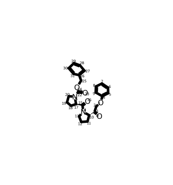 O=C(COc1ccccc1)[C@@H]1CCCN1C(=O)[C@H]1CCCN1C(=O)OCc1ccccc1